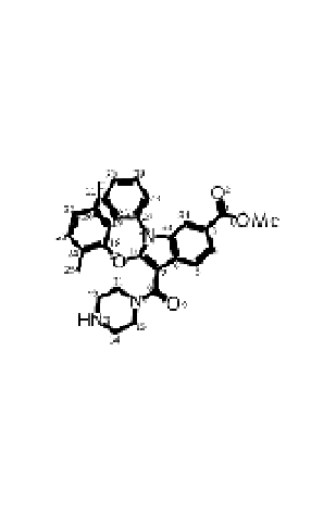 COC(=O)c1ccc2c(C(=O)N3CCNCC3)c(Oc3cc(F)ccc3C)n(-c3ccccc3)c2c1